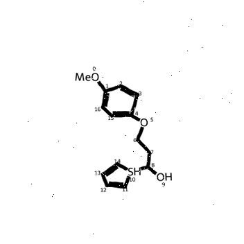 COc1ccc(OCCC(O)[SH]2C=CC=C2)cc1